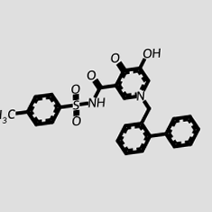 Cc1ccc(S(=O)(=O)NC(=O)c2cn(Cc3ccccc3-c3ccccc3)cc(O)c2=O)cc1